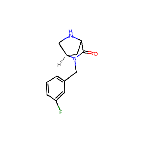 O=C1C2C[C@H](CN2)N1Cc1cccc(F)c1